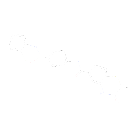 CC1Sc2ccc(C(=O)Nc3ccc([S+]([O-])Nc4ccccc4F)cc3)cc2NC1=O